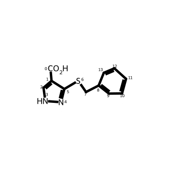 O=C(O)c1c[nH]nc1SCc1ccccc1